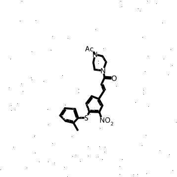 CC(=O)N1CCN(C(=O)C=Cc2ccc(Sc3ccccc3C)c([N+](=O)[O-])c2)CC1